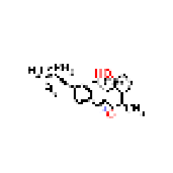 CC1=C2CCC[C@H](O)[C@@]2(C)C/C(=C\c2ccc(C#C[Si](C)(C)C)cc2)C1=O